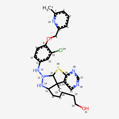 Cc1cccc(COc2ccc(NN3NC4CCC(CCO)CC45c4cncnc4SC35)cc2Cl)n1